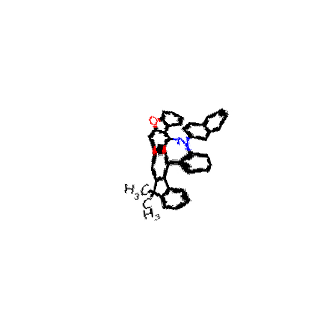 CC1(C)c2ccccc2-c2c(-c3ccccc3N(c3ccc4ccccc4c3)c3cccc4oc5ccccc5c34)cccc21